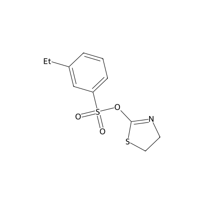 CCc1cccc(S(=O)(=O)OC2=NCCS2)c1